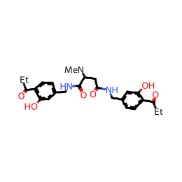 CCC(=O)c1ccc(CNC(=O)CC(NC)C(=O)NCc2ccc(C(=O)CC)c(O)c2)cc1O